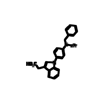 CCCN(Cc1ccccc1)c1ccc(-n2cc(CC(=O)O)c3ccccc32)cc1